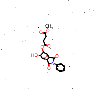 COC(=O)CCC(=O)OC1C(O)C2OC1C1C(=O)N(c3ccccc3)C(=O)C21